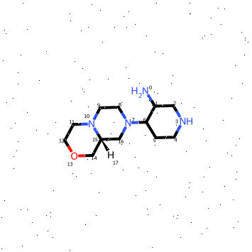 NC1CNCCC1N1CCN2CCOC[C@H]2C1